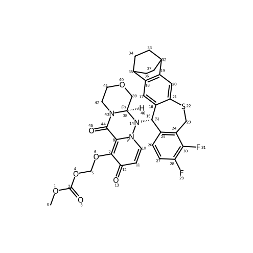 COC(=O)OCOc1c2n(ccc1=O)N([C@@H]1c3cc4c(cc3SCc3c1ccc(F)c3F)C1CCC4CC1)[C@@H]1COCCN1C2=O